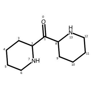 O=C(C1CCCCN1)C1CCCCN1